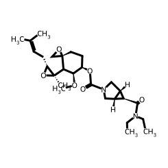 CCN(CC)C(=O)[C@H]1[C@@H]2CN(C(=O)O[C@@H]3CC[C@]4(CO4)C([C@@]4(C)O[C@@H]4CC=C(C)C)[C@@H]3OC)C[C@@H]21